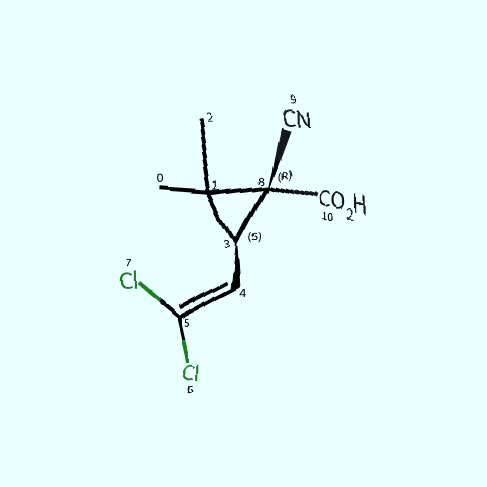 CC1(C)[C@H](C=C(Cl)Cl)[C@@]1(C#N)C(=O)O